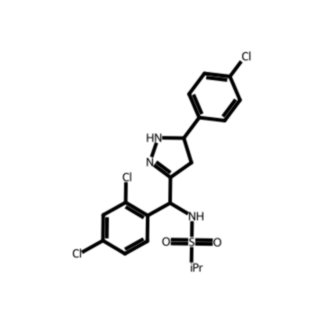 CC(C)S(=O)(=O)NC(C1=NNC(c2ccc(Cl)cc2)C1)c1ccc(Cl)cc1Cl